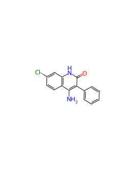 Nc1c(-c2ccccc2)c(=O)[nH]c2cc(Cl)ccc12